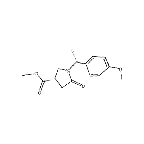 COC(=O)[C@H]1CC(=O)N([C@H](C)c2ccc(OC)cc2)C1